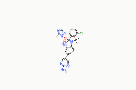 Cc1ncn(-c2ccc(Cl)cc2C2(O)Nc3cc(-c4cnc(N)nc4)ccc3N2C(C)(C)C)n1